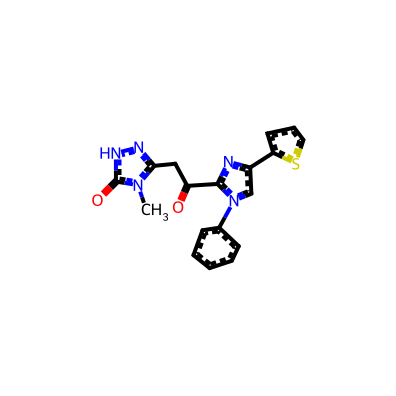 Cn1c(CC(=O)c2nc(-c3cccs3)cn2-c2ccccc2)n[nH]c1=O